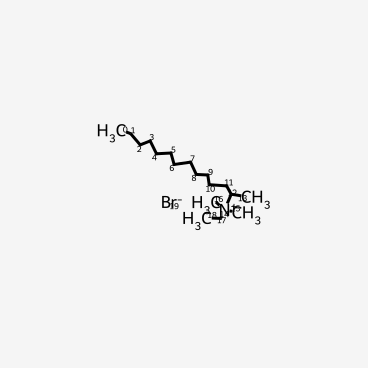 CCCCCCCCCCCCC(C)[N+](C)(C)CC.[Br-]